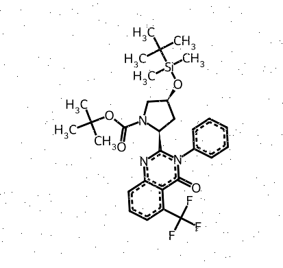 CC(C)(C)OC(=O)N1C[C@@H](O[Si](C)(C)C(C)(C)C)C[C@H]1c1nc2cccc(C(F)(F)F)c2c(=O)n1-c1ccccc1